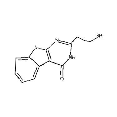 [2H]CCc1nc2sc3ccccc3c2c(=O)[nH]1